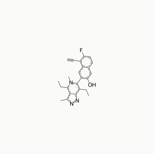 C#Cc1c(F)ccc2cc(O)c(-c3c(CC)c4nnc(C)c-4c(CC)n3C)cc12